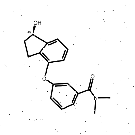 CN(C)C(=O)c1cccc(Oc2cccc3c2CC[C@H]3O)c1